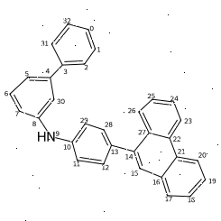 c1ccc(-c2cccc(Nc3ccc(-c4cc5ccccc5c5ccccc45)cc3)c2)cc1